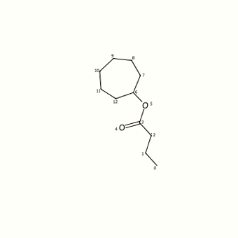 CC[CH]C(=O)OC1CCCCCC1